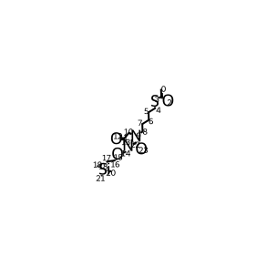 CC(=O)SCCCCCN1CC(=O)N(COCC[Si](C)(C)C)C1=O